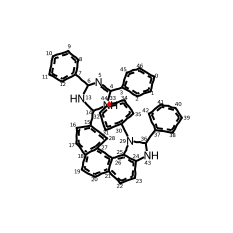 c1ccc(C2=NC(c3ccccc3)NC(c3ccc4ccc5ccc6c(c5c4c3)N(c3ccccc3)C(c3ccccc3)N6)N2)cc1